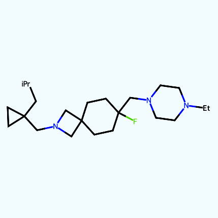 CCN1CCN(CC2(F)CCC3(CC2)CN(CC2(CC(C)C)CC2)C3)CC1